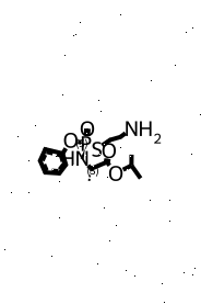 CC(C)OC(=O)[C@H](C)N[P@](=O)(Oc1ccccc1)SCCN